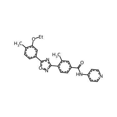 CCOc1cc(-c2nc(-c3ccc(C(=O)Nc4ccncc4)cc3C)no2)ccc1C